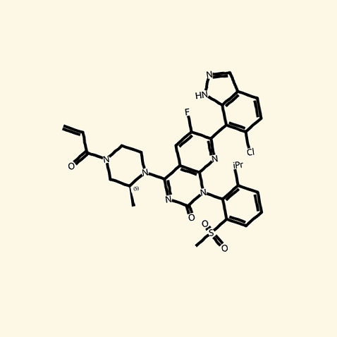 C=CC(=O)N1CCN(c2nc(=O)n(-c3c(C(C)C)cccc3S(C)(=O)=O)c3nc(-c4c(Cl)ccc5cn[nH]c45)c(F)cc23)[C@@H](C)C1